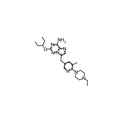 CCC(CC)Oc1nc(N)c2ncc(Cc3cnc(N4CCN(CC)CC4)c(C)c3)n2n1